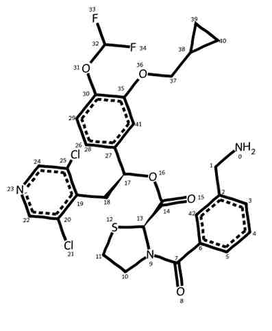 NCc1cccc(C(=O)N2CCS[C@H]2C(=O)O[C@@H](Cc2c(Cl)cncc2Cl)c2ccc(OC(F)F)c(OCC3CC3)c2)c1